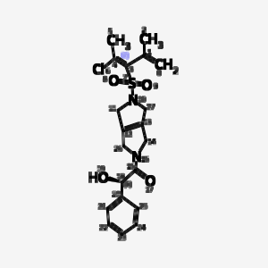 C=C(C)/C(=C(\C)Cl)S(=O)(=O)N1CC2=C(CN(C(=O)[C@H](O)c3ccccc3)C2)C1